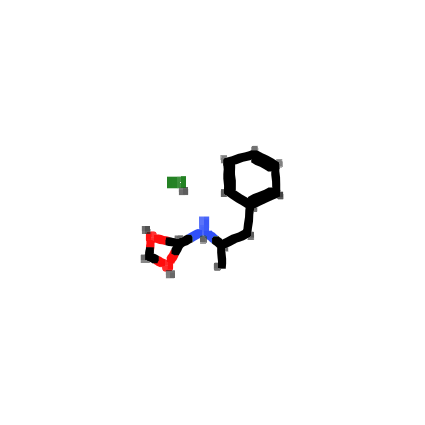 CC(Cc1ccccc1)NC1OCO1.Cl